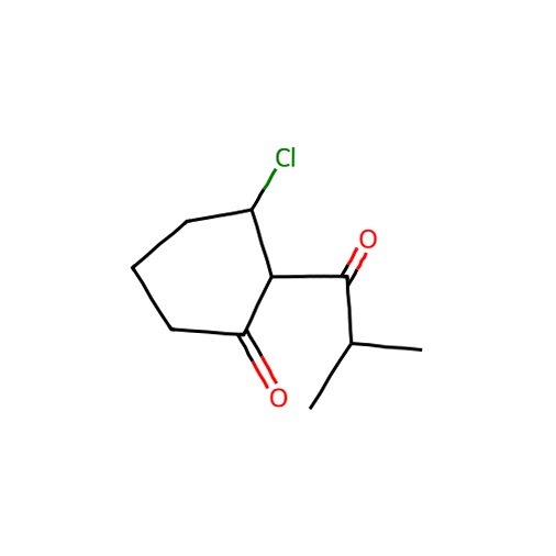 CC(C)C(=O)C1C(=O)CCCC1Cl